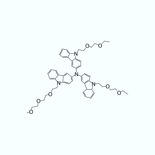 CCOCCOCCN1c2ccc(N(c3ccc4c(c3)c3ccccc3n4CCOCCOCC)c3ccc4c(c3)c3ccccc3n4CCOCCOCCOC)cc2C2C=CC=CC21